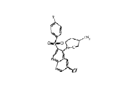 CC1CCN(c2c(S(=O)(=O)c3ccc(F)cc3)cnc3ccc(Cl)cc23)CC1